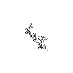 CC(C)C(N)C(=O)N[C@@H](CCCNC(N)=O)C(=O)Nc1ccc(COC(=O)N(C)CCN(C)C)cc1